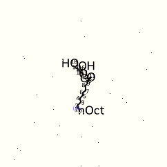 CCCCCCCC/C=C\CCCCCCCC(=O)OOCC(O)CO